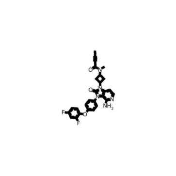 CC#CC(=O)N(C)C1CC(n2c(=O)n(-c3ccc(Oc4ccc(F)cc4F)cc3)c3c(N)nccc32)C1